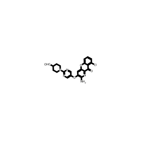 Nc1nc2c(=O)c3c(Cl)cccc3oc2cc1Oc1cnc(N2CCC(C=O)CC2)nc1